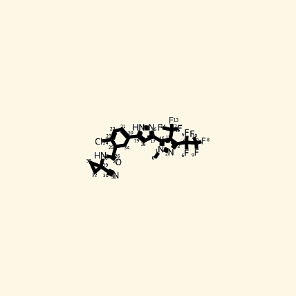 Cn1nc(C(F)(F)C(F)(F)F)c(C(F)(F)F)c1-c1cc(C2=CC=C(Cl)C(C(=O)NC3(C#N)CC3)C2)[nH]n1